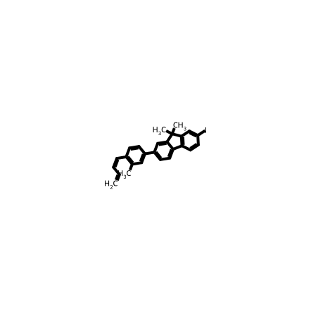 C=C/C=C\c1ccc(-c2ccc3c(c2)C(C)(C)c2cc(I)ccc2-3)cc1C